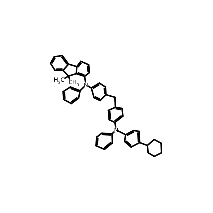 CC1(C)c2ccccc2-c2cccc(N(c3ccccc3)c3ccc(Cc4ccc(N(c5ccccc5)c5ccc(C6CCCCC6)cc5)cc4)cc3)c21